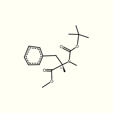 COC(=O)[C@](C)(Cc1ccccc1)N(C)C(=O)OC(C)(C)C